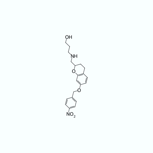 O=[N+]([O-])c1ccc(COc2ccc3c(c2)OC(CNCCCO)CC3)cc1